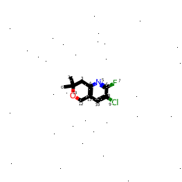 CC1(C)Cc2nc(F)c(Cl)cc2CO1